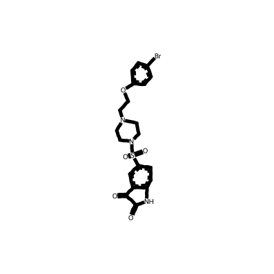 O=C1Nc2ccc(S(=O)(=O)N3CCN(CCOc4ccc(Br)cc4)CC3)cc2C1=O